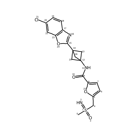 CS(=N)(=O)Cc1ccc(C(=O)NC23CC(c4nc5ccc(Cl)cc5o4)(C2)C3)o1